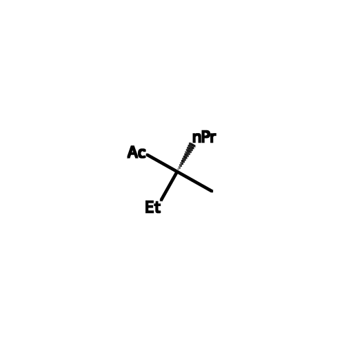 CCC[C@](C)(CC)C(C)=O